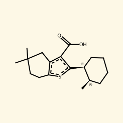 C[C@@H]1CCCC[C@@H]1c1sc2c(c1C(=O)O)CC(C)(C)CC2